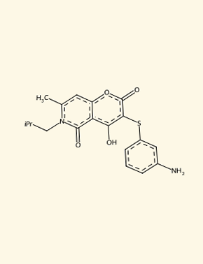 Cc1cc2oc(=O)c(Sc3cccc(N)c3)c(O)c2c(=O)n1CC(C)C